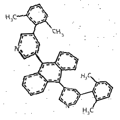 Cc1cccc(C)c1-c1cncc(-c2c3ccccc3c(-c3cncc(-c4c(C)cccc4C)c3)c3ccccc23)c1